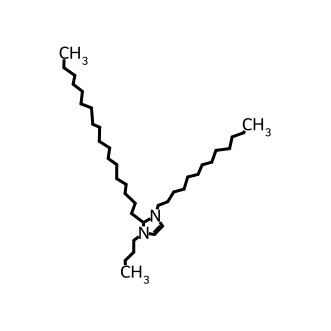 CCCCCCCCCCCCCCCCCCC1N(CCCC)C=CN1CCCCCCCCCCCCC